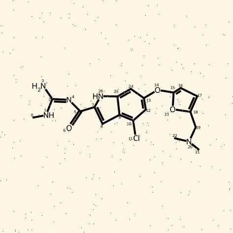 CNC(N)=NC(=O)c1cc2c(Cl)cc(Oc3ccc(CN(C)C)o3)cc2[nH]1